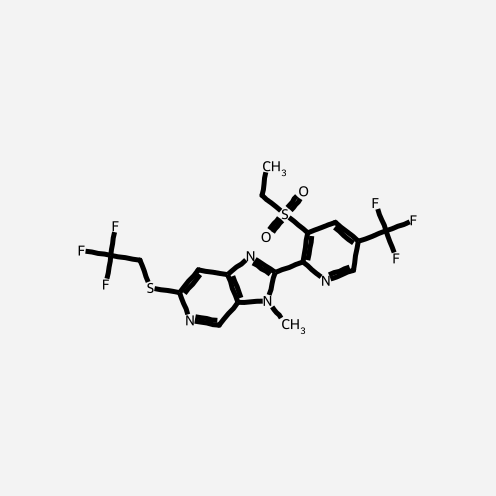 CCS(=O)(=O)c1cc(C(F)(F)F)cnc1-c1nc2cc(SCC(F)(F)F)ncc2n1C